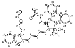 CC1(C)C(/C=C/C=C/C=C2/Sc3ccccc3N2CCOC=O)=[N+](CCC(=O)O)c2c1c1ccccc1c1ccccc21